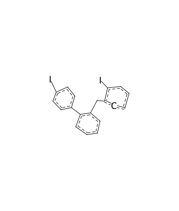 Ic1ccc(-c2ccccc2Cc2ccccc2I)cc1